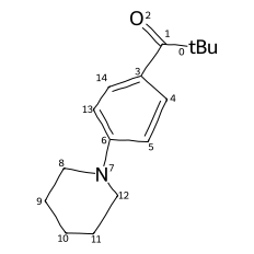 CC(C)(C)C(=O)c1ccc(N2CCCCC2)cc1